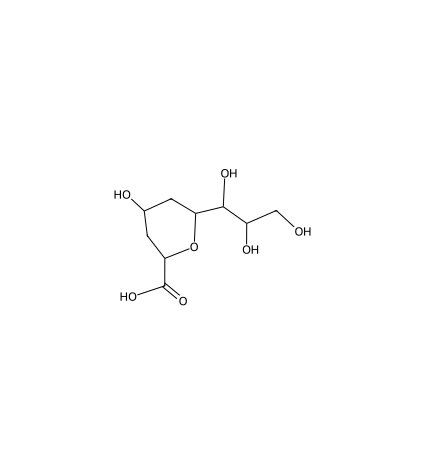 O=C(O)C1CC(O)CC(C(O)C(O)CO)O1